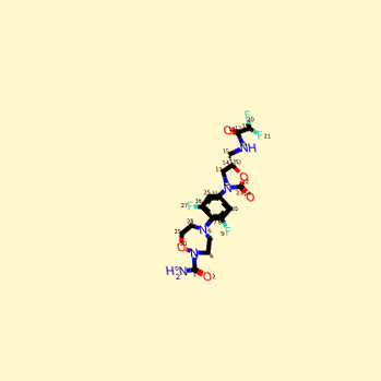 NC(=O)N1CCN(c2c(F)cc(N3C[C@H](CNC(=O)C(F)F)OC3=O)cc2F)CCO1